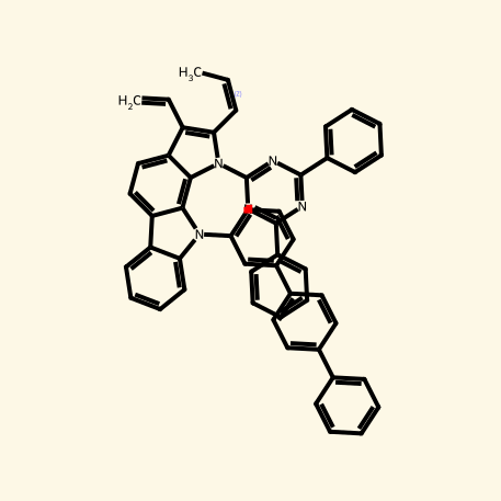 C=Cc1c(/C=C\C)n(-c2nc(-c3ccccc3)nc(-c3ccccc3)n2)c2c1ccc1c3ccccc3n(-c3cccc(-c4ccc(-c5ccccc5)cc4)c3)c12